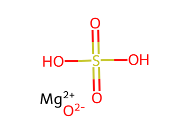 O=S(=O)(O)O.[Mg+2].[O-2]